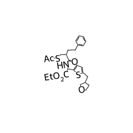 CCOC(=O)C(NC(=O)C(CCc1ccccc1)CSC(C)=O)c1ccc(CC2CCOC2)s1